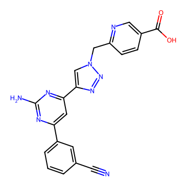 N#Cc1cccc(-c2cc(-c3cn(Cc4ccc(C(=O)O)cn4)nn3)nc(N)n2)c1